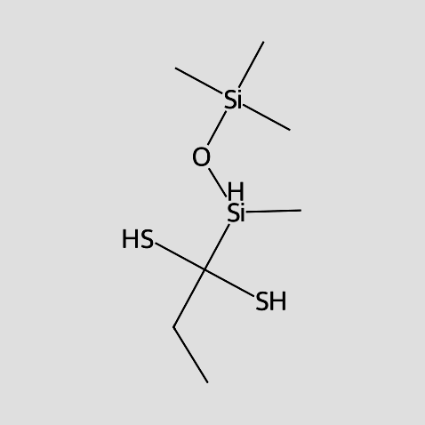 CCC(S)(S)[SiH](C)O[Si](C)(C)C